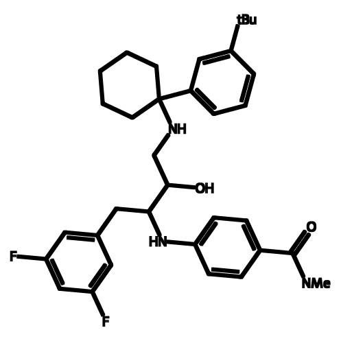 CNC(=O)c1ccc(NC(Cc2cc(F)cc(F)c2)C(O)CNC2(c3cccc(C(C)(C)C)c3)CCCCC2)cc1